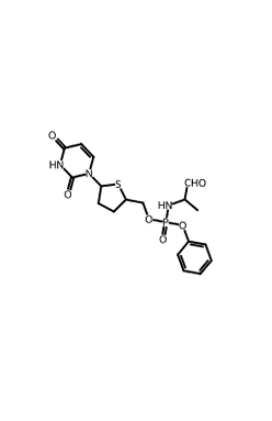 CC(C=O)NP(=O)(OCC1CCC(n2ccc(=O)[nH]c2=O)S1)Oc1ccccc1